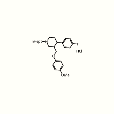 CCCCCCCN1CCC(c2ccc(F)cc2)C(COc2ccc(OC)cc2)C1.Cl